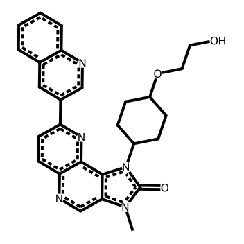 Cn1c(=O)n(C2CCC(OCCO)CC2)c2c3nc(-c4cnc5ccccc5c4)ccc3ncc21